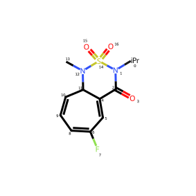 CC(C)N1C(=O)C2=CC(F)=CC=CC2N(C)S1(=O)=O